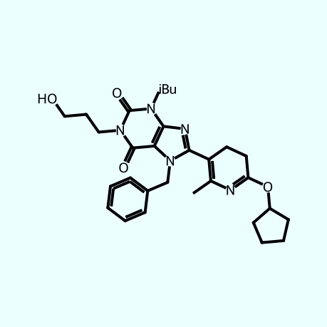 CCC(C)n1c(=O)n(CCCO)c(=O)c2c1nc(C1=C(C)N=C(OC3CCCC3)CC1)n2CC1=C=C=CC=C1